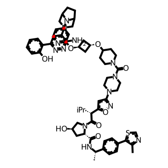 Cc1ncsc1-c1ccc([C@H](C)NC(=O)[C@@H]2C[C@@H](O)CN2C(=O)[C@@H](c2cc(N3CCN(C(=O)N4CCC(O[C@H]5C[C@H](Oc6cc(N7C8CCC7CN(c7cc(-c9ccccc9O)nnc7N)C8)ccn6)C5)CC4)CC3)no2)C(C)C)cc1